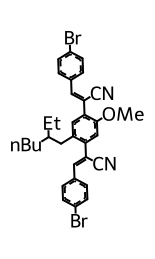 CCCCC(CC)Cc1cc(C(C#N)=Cc2ccc(Br)cc2)c(OC)cc1C(C#N)=Cc1ccc(Br)cc1